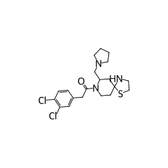 O=C(Cc1ccc(Cl)c(Cl)c1)N1CCC2(CC1CN1CCCC1)NCCS2